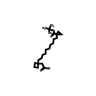 CC(C)(C)OC(=O)C1(CCCCCCCCCCC2(CC(=O)O)CCC2)CC1